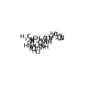 Cc1cc(Nc2ncc(Cl)c(-c3c[nH]c4c(NC(=O)CN5CC[C@H](Oc6ccncc6)C5)cccc34)n2)nn1C